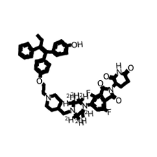 [2H]C1([2H])N(CC2CCN(CCOc3ccc(C(=C(CC)c4ccccc4)c4ccc(O)cc4)cc3)CC2)C([2H])([2H])C([2H])([2H])N(c2cc(F)c3c(c2F)C(=O)N(C2CCC(=O)NC2=O)C3=O)C1([2H])[2H]